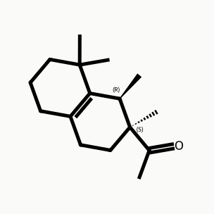 CC(=O)[C@@]1(C)CCC2=C([C@H]1C)C(C)(C)CCC2